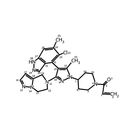 C=CC(=O)N1CCC(n2nc(N3CCn4nccc4C3)c(-c3c(Cl)c(C)cc4[nH]ncc34)c2C)CC1